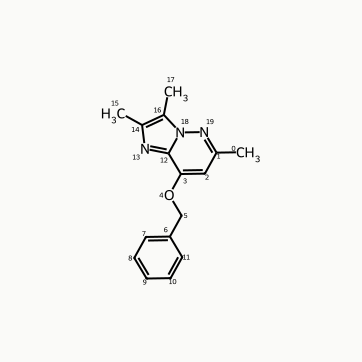 Cc1cc(OCc2ccccc2)c2nc(C)c(C)n2n1